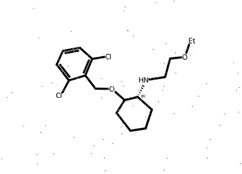 CCOCCN[C@@H]1CCCCC1OCc1c(Cl)cccc1Cl